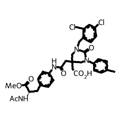 COC(=O)[C@H](Cc1ccc(NC(=O)CC2(CC(=O)O)CN(Cc3ccc(Cl)cc3Cl)C(=O)N(c3ccc(C)cc3)C2)cc1)NC(C)=O